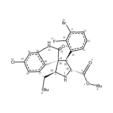 CC(C)(C)C[C@@H]1N[C@@H](C(=O)OC(C)(C)C)[C@H](c2cccc(Br)c2F)[C@]12C(=O)Nc1cc(Cl)ccc12